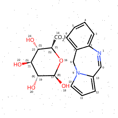 C1=Nc2ccccc2Cn2cccc21.O=C(O)[C@H]1O[C@@H](O)[C@H](O)[C@@H](O)[C@@H]1O